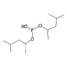 CC(C)CC(C)OP(O)OC(C)CC(C)C